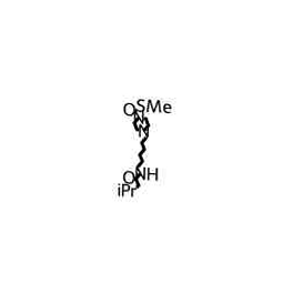 CSC(=O)N1CCN(CCCCCCNC(=O)CC(C)C)CC1